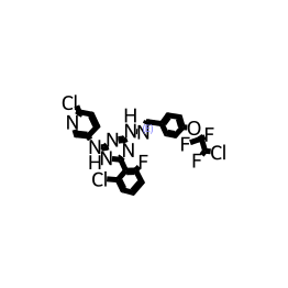 Fc1cccc(Cl)c1-c1nc(N/N=C/c2ccc(OC(F)(F)C(F)Cl)cc2)nc(Nc2ccc(Cl)nc2)n1